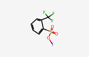 O=S(=O)(OI)c1ccccc1C(F)(F)F